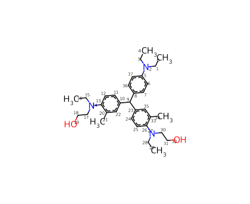 CCN(CC)c1ccc(C(c2ccc(N(CC)CCO)c(C)c2)c2ccc(N(CC)CCO)c(C)c2)cc1